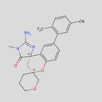 CN1C(=O)[C@@]2(C[C@]3(CCCOC3)Oc3ccc(-c4cc(C#N)ccc4C(F)(F)F)cc32)N=C1N